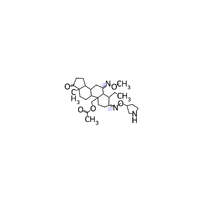 CCC1/C(=N\OC2CCNC2)CCC2(COC(C)=O)C3CCC4(C)C(=O)CCC4C3C/C(=N/OC)C12